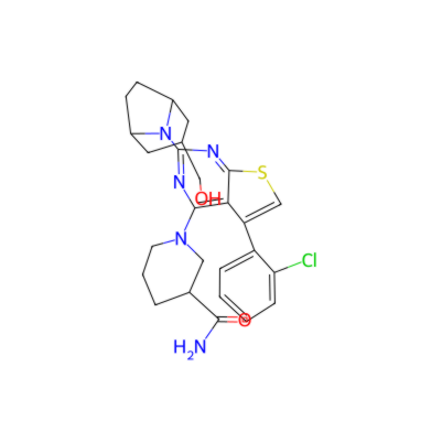 NC(=O)C1CCCN(c2nc(N3C4CCC3CC(CO)C4)nc3scc(-c4ccccc4Cl)c23)C1